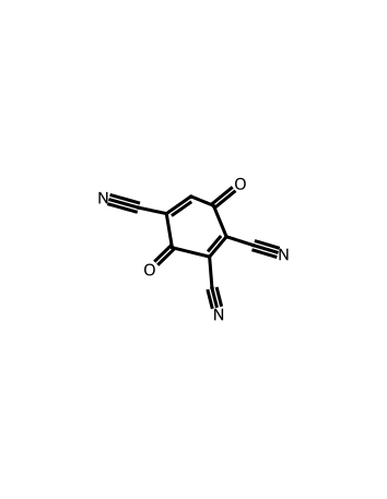 N#CC1=CC(=O)C(C#N)=C(C#N)C1=O